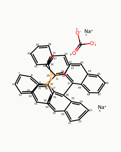 O=C([O-])[O-].[Na+].[Na+].c1ccc(P(c2ccccc2)c2ccc3ccccc3c2-c2c(P(c3ccccc3)c3ccccc3)ccc3ccccc23)cc1